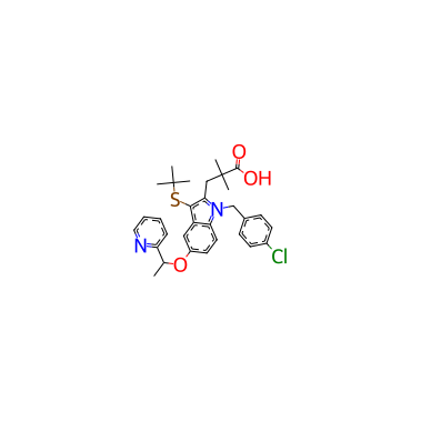 CC(Oc1ccc2c(c1)c(SC(C)(C)C)c(CC(C)(C)C(=O)O)n2Cc1ccc(Cl)cc1)c1ccccn1